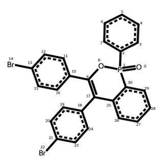 O=P1(c2ccccc2)OC(c2ccc(Br)cc2)=C(c2ccc(Br)cc2)c2ccccc21